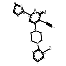 N#Cc1c(N2CCN(c3ccccc3Cl)CC2)cc(-c2ccco2)oc1=O